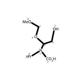 CCCN(C(=O)O)C(CO)OCOC